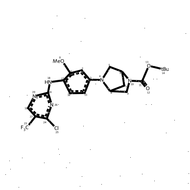 COc1cc(N2CC3CC2CN3C(=O)OC(C)(C)C)ccc1Nc1ncc(C(F)(F)F)c(Cl)n1